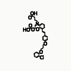 O=C(O)CCCN1CC(OC(=O)O)Oc2c(/C=C/c3ccc(OCCCOc4ccccc4Cl)cc3)cccc21